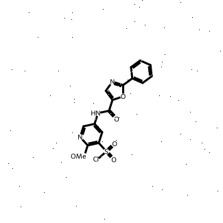 COc1ncc(NC(=O)c2cnc(-c3ccccc3)o2)cc1S(=O)(=O)Cl